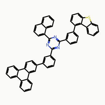 c1cc(-c2ccc3c4ccccc4c4ccccc4c3c2)cc(-c2nc(-c3cccc(-c4cccc5sc6ccccc6c45)c3)nc(-c3cccc4ccccc34)n2)c1